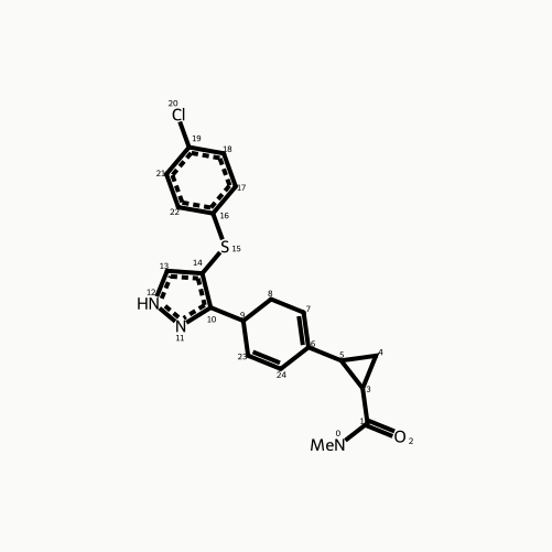 CNC(=O)C1CC1C1=CCC(c2n[nH]cc2Sc2ccc(Cl)cc2)C=C1